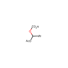 CC(=O)OC(OC(=O)O)C(C)C